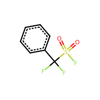 O=S(=O)(F)C(F)(F)c1ccccc1